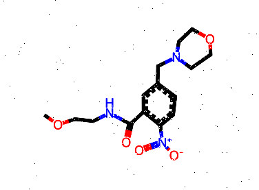 COCCNC(=O)c1cc(CN2CCOCC2)ccc1[N+](=O)[O-]